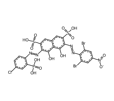 O=[N+]([O-])c1cc(Br)c(N=Nc2c(S(=O)(=O)O)cc3cc(S(=O)(=O)O)c(N=Nc4ccc(Cl)cc4P(=O)(O)O)c(O)c3c2O)c(Br)c1